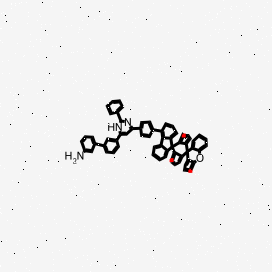 Nc1cccc(-c2cccc(C3=CC(c4ccc(-c5cccc6c5-c5ccccc5C65c6ccccc6C6(c7ccccc7Oc7ccccc76)c6ccccc65)cc4)=NC(c4ccccc4)N3)c2)c1